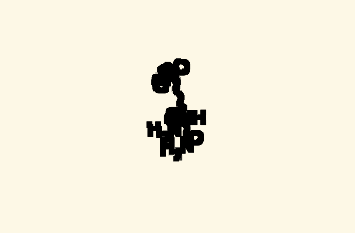 NC(=O)CCC(NC(=O)CCCCCN1C(=O)C=CC1=O)C(N)=O